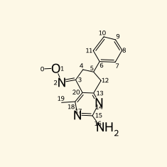 CON=C1CC(c2ccccc2)Cc2nc(N)nc(C)c21